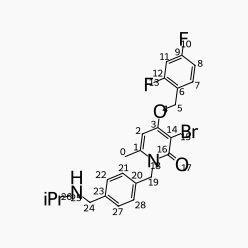 Cc1cc(OCc2ccc(F)cc2F)c(Br)c(=O)n1Cc1ccc(CNC(C)C)cc1